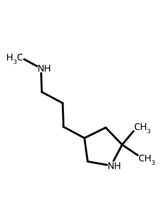 CNCCCC1CNC(C)(C)C1